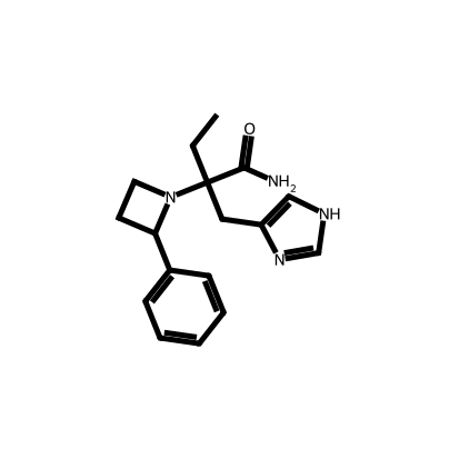 CCC(Cc1c[nH]cn1)(C(N)=O)N1CCC1c1ccccc1